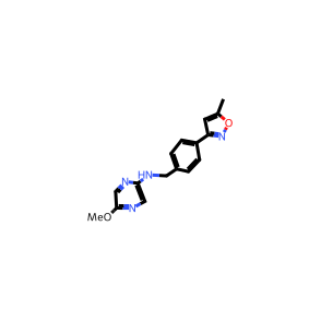 COc1cnc(NCc2ccc(-c3cc(C)on3)cc2)cn1